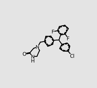 O=C1CN(Cc2ccc(C(c3ccc(Cl)cc3)c3c(F)cccc3F)cc2)CCN1